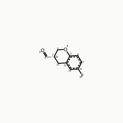 O=C[C@@H]1COc2ccc(F)cc2C1